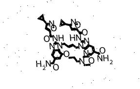 NC(=O)c1cnc2c(c1)nc(NC(=O)c1cc(C3CC3)no1)n2CC=CCn1c(NC(=O)c2cc(C3CC3)no2)nc2cc(C(N)=O)cc(OCCCN3CCOCC3)c21